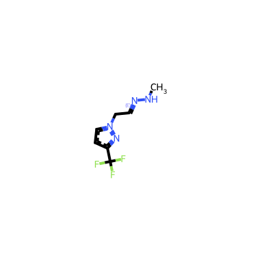 CN/N=C/Cn1ccc(C(F)(F)F)n1